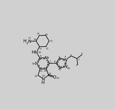 CC(C)Cn1cc(-c2nc(NC3CCCCC3N)nc3c2C(=O)NC3)cn1